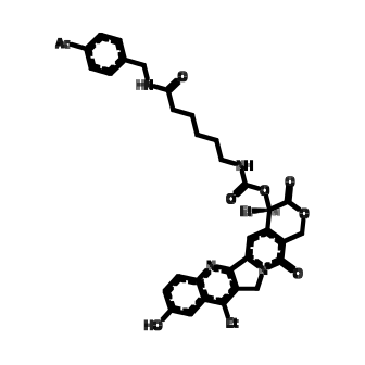 CCc1c2c(nc3ccc(O)cc13)-c1cc3c(c(=O)n1C2)COC(=O)[C@@]3(CC)OC(=O)NCCCCCC(=O)NCc1ccc(C(C)=O)cc1